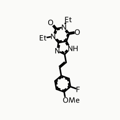 CCn1c(=O)c2[nH]c(C=Cc3ccc(OC)c(F)c3)nc2n(CC)c1=O